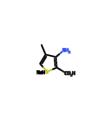 Cc1csc(C(=O)O)c1N.[NaH]